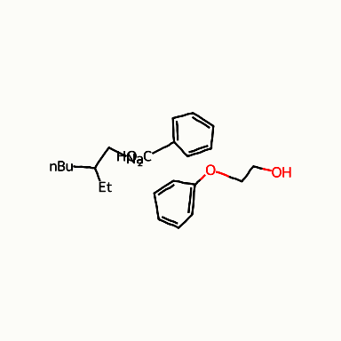 CCCCC(CC)[CH2][Na].O=C(O)c1ccccc1.OCCOc1ccccc1